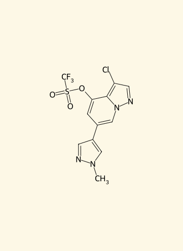 Cn1cc(-c2cc(OS(=O)(=O)C(F)(F)F)c3c(Cl)cnn3c2)cn1